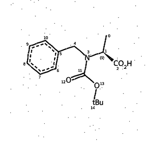 C[C@@H](C(=O)O)N(Cc1ccccc1)C(=O)OC(C)(C)C